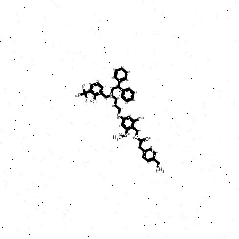 CCC1=CC=C(CC(=O)OCc2c(F)cc(OCCCN(Cc3cccc(C(F)(F)F)c3Cl)CC(C3=CCCC=C3)c3ccccc3)cc2SC)CC1